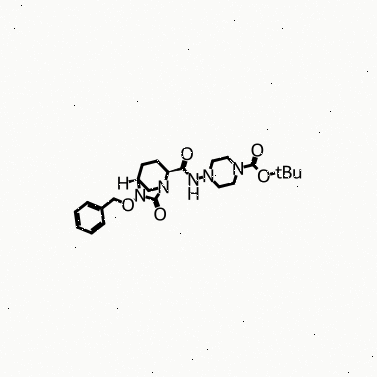 CC(C)(C)OC(=O)N1CCN(NC(=O)[C@@H]2CC[C@@H]3CN2C(=O)N3OCc2ccccc2)CC1